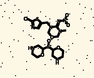 CN1COCN(Cc2cnc(Cl)s2)/C1=N/[N+](=O)[O-].[O-][S+](C1CNCCO1)C1CNCCO1